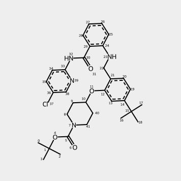 CC(C)(C)OC(=O)N1CCC(Oc2cc(C(C)(C)C)ccc2CNc2ccccc2C(=O)Nc2ccc(Cl)cn2)CC1